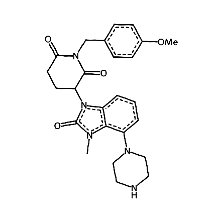 COc1ccc(CN2C(=O)CCC(n3c(=O)n(C)c4c(N5CCNCC5)cccc43)C2=O)cc1